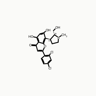 CN1CC[C@@H](c2c(O)cc(O)c3c(=O)cc(-c4ccc(Cl)cc4Cl)oc23)[C@@H]1CO